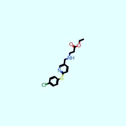 CCOC(=O)CCNCc1ccc(Sc2ccc(Cl)cc2)nc1